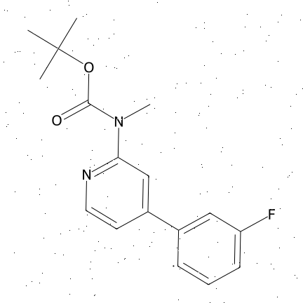 CN(C(=O)OC(C)(C)C)c1cc(-c2[c]ccc(F)c2)ccn1